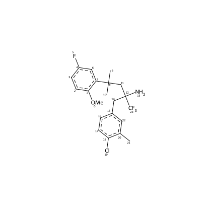 COc1ccc(F)cc1C(C)(C)CC(N)(Cc1ccc(Cl)c(C)c1)C(F)(F)F